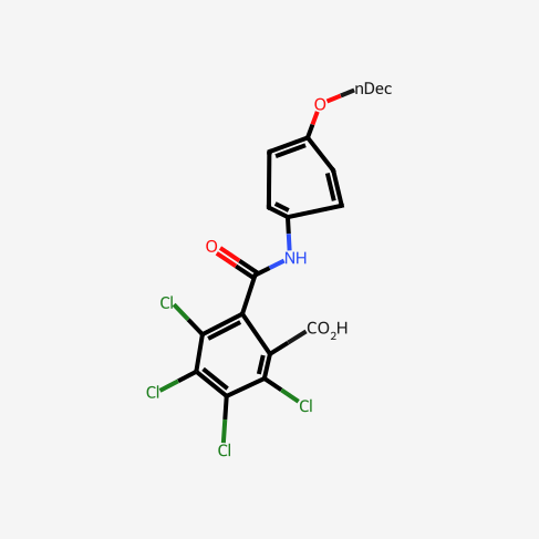 CCCCCCCCCCOc1ccc(NC(=O)c2c(Cl)c(Cl)c(Cl)c(Cl)c2C(=O)O)cc1